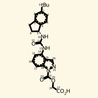 CC(C)(C)c1ccc2c(c1)CC[C@H]2NC(=O)Nc1cccc2c1cnn2C(=O)OCC(=O)O